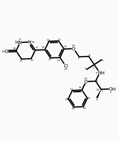 C[C@H](O)C(NC(C)(C)CCOc1ccc(C2=NNC(=O)CC2)cc1Cl)Oc1ccccc1